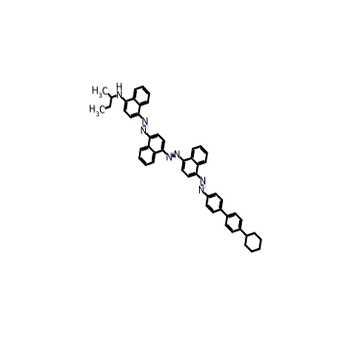 CCC(C)Nc1ccc(/N=N/c2ccc(/N=N/c3ccc(/N=N/c4ccc(-c5ccc(C6CCCCC6)cc5)cc4)c4ccccc34)c3ccccc23)c2ccccc12